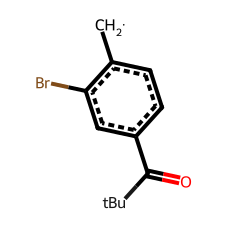 [CH2]c1ccc(C(=O)C(C)(C)C)cc1Br